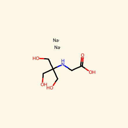 O=C(O)CNC(CO)(CO)CO.[Na].[Na]